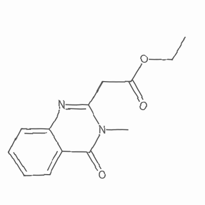 CCOC(=O)Cc1nc2ccccc2c(=O)n1C